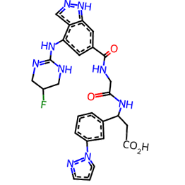 O=C(O)CC(NC(=O)CNC(=O)c1cc(NC2=NCC(F)CN2)c2cn[nH]c2c1)c1cccc(-n2cccn2)c1